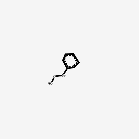 OO[Se]c1ccccc1